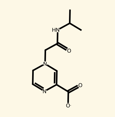 CC(C)NC(=O)CN1C=C(C([O])=O)N=CC1